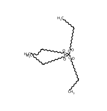 CCCCCCCC/C=C\CCCCCCCCCCCC(=O)OCC(COC(=O)CCCCCCCCCCC/C=C\CCCCCCCC)(COC(=O)CCCCCCCCCCC/C=C\CCCCCCCC)COC(=O)CCCCCCCCCCC/C=C\CCCCCCCC